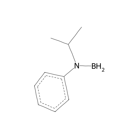 BN(c1ccccc1)C(C)C